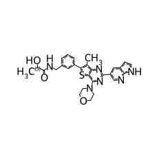 Cc1c(-c2cccc(CNC(=O)[C@H](C)O)c2)sc2c(N3CCOCC3)nc(-c3cnc4[nH]ccc4c3)nc12